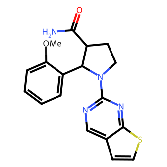 COc1ccccc1C1C(C(N)=O)CCN1c1ncc2ccsc2n1